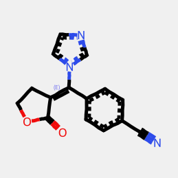 N#Cc1ccc(/C(=C2/CCOC2=O)n2ccnc2)cc1